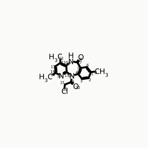 Cc1ccc2c(c1)C(=O)Nc1c(C)cc(C)nc1N2C(=O)CCl